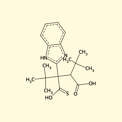 CC(C)(C)C(C(=O)O)C(C(O)=S)(c1nc2ccccc2[nH]1)C(C)(C)C